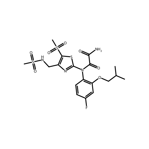 CC(C)COc1cc(F)ccc1N(C(=O)C(N)=O)c1nc(CNS(C)(=O)=O)c(S(C)(=O)=O)s1